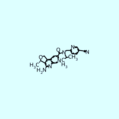 CC(C)N(Cc1ccc(C#N)cn1)C(=O)c1cc2c3c(c(N)nc2cn1)[C@@H](C)OC3